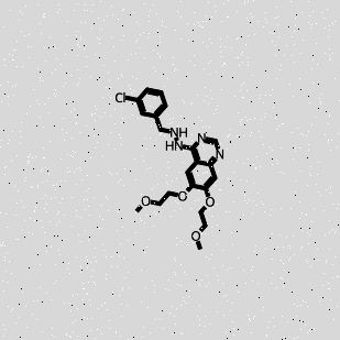 COCCOc1cc2ncnc(NNCc3cccc(Cl)c3)c2cc1OCCOC